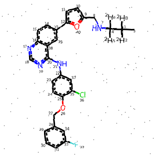 [2H]C([2H])(C)C([2H])([2H])NCc1ccc(-c2ccc3ncnc(Nc4ccc(OCc5cccc(F)c5)c(Cl)c4)c3c2)o1